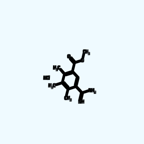 COC(=O)c1cc(C(=N)N)c(C)c(C)c1C.Cl